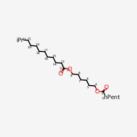 CCCCCC(=O)OCCCCCCOC(=O)CCCCCCCCCC(C)C